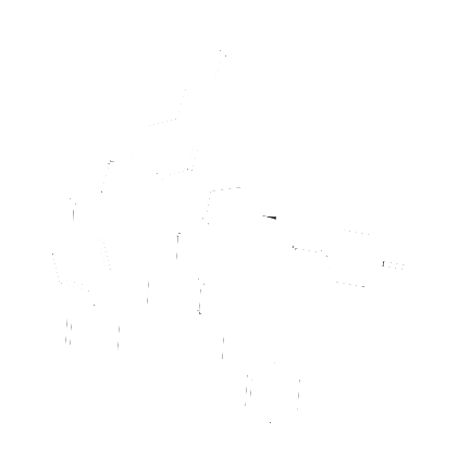 NCCCC[C@H](NC(=O)[C@@H]1C[C@@H](OC(=O)N2CCC(=O)CC2)CN1C(=O)[C@@H](CCc1ccccc1)NC(=O)OCc1ccccc1)C(=O)c1nc2ccccc2o1